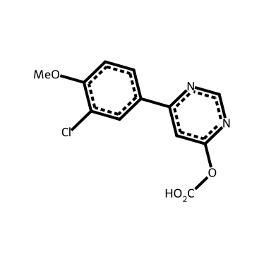 COc1ccc(-c2cc(OC(=O)O)ncn2)cc1Cl